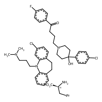 CC(C)C[C@H](N)C(=O)O.CN(C)CCCN1c2ccccc2CCc2ccc(Cl)cc21.O=C(CCCN1CCC(O)(c2ccc(Cl)cc2)CC1)c1ccc(F)cc1